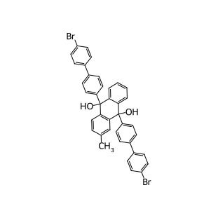 Cc1ccc2c(c1)C(O)(c1ccc(-c3ccc(Br)cc3)cc1)c1ccccc1C2(O)c1ccc(-c2ccc(Br)cc2)cc1